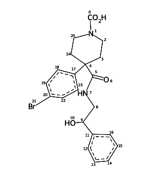 O=C(O)N1CCC(C(=O)NCC(O)c2ccccc2)(c2ccc(Br)cc2)CC1